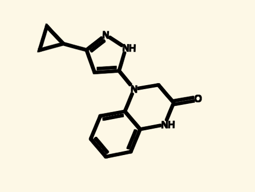 O=C1CN(c2cc(C3CC3)n[nH]2)c2ccccc2N1